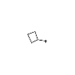 FC1[CH]CC1